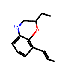 CC=Cc1cccc2c1OC(CC)CN2